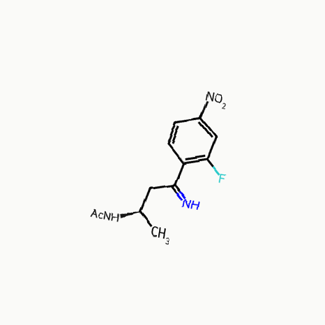 CC(=O)N[C@H](C)CC(=N)c1ccc([N+](=O)[O-])cc1F